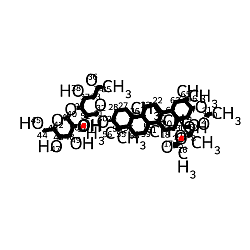 CC(=O)OC1C(OC(C)=O)[C@]2(CO)C(OC(C)=O)C[C@]3(C)C(=CCC4[C@@]5(C)CC[C@H](OC6OC(C(C)=O)C(O)C(OC7OC(CO)C(O)C(O)C7O)C6O)C(C)(C)C5CC[C@]43C)C2CC1(C)C